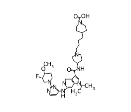 COC1CCN(c2nccc(Nc3cc4c(cn3)c(C(=O)NC3CCN(CCCCC5CCN(C(=O)O)CC5)CC3)cn4C(C)C)n2)C[C@H]1F